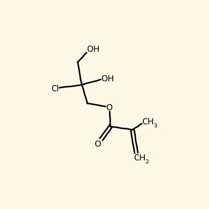 C=C(C)C(=O)OCC(O)(Cl)CO